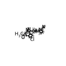 CC(=O)N1Cc2cc(Cl)ccc2-n2c(nnc2C2CC3(C2)CN(c2cccc(C#N)n2)C3)C1